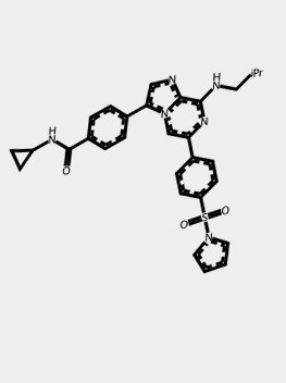 CC(C)CNc1nc(-c2ccc(S(=O)(=O)n3cccc3)cc2)cn2c(-c3ccc(C(=O)NC4CC4)cc3)cnc12